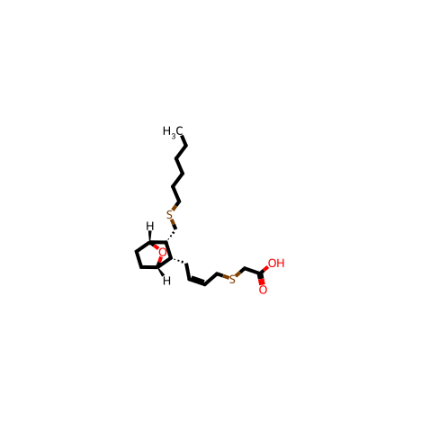 CCCCCCSC[C@@H]1[C@H](C/C=C\CSCC(=O)O)[C@@H]2CC[C@H]1O2